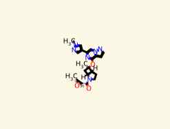 C[C@@H]1O[C@H]1C(=O)N1CC[C@@H]2[C@H]1C[C@@]2(C)Oc1nc(-c2cnn(C)c2)cn2nccc12